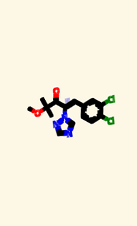 COC(C)(C)C(=O)/C(=C/c1ccc(Cl)c(Cl)c1)n1cncn1